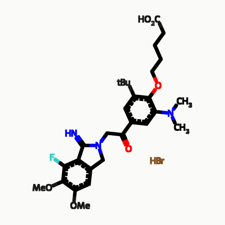 Br.COc1cc2c(c(F)c1OC)C(=N)N(CC(=O)c1cc(N(C)C)c(OCCCCC(=O)O)c(C(C)(C)C)c1)C2